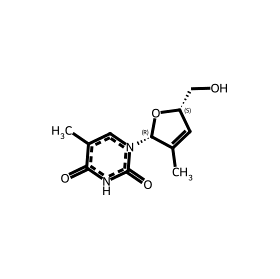 CC1=C[C@@H](CO)O[C@H]1n1cc(C)c(=O)[nH]c1=O